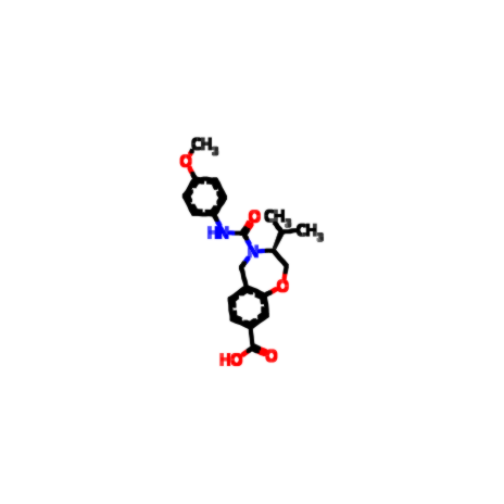 COc1ccc(NC(=O)N2Cc3ccc(C(=O)O)cc3OC[C@@H]2C(C)C)cc1